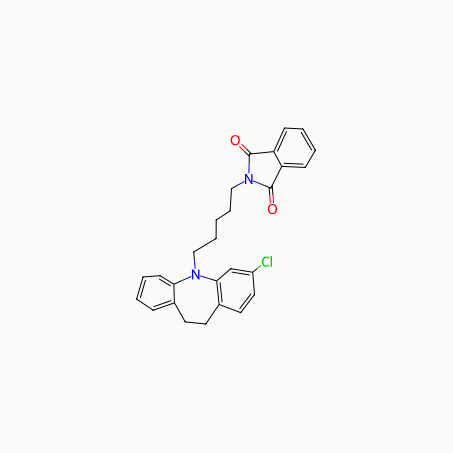 O=C1c2ccccc2C(=O)N1CCCCCN1c2ccccc2CCc2ccc(Cl)cc21